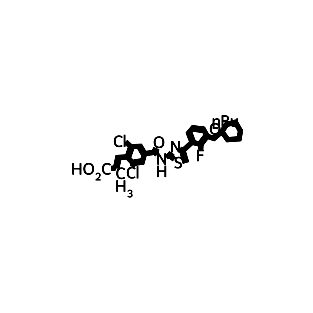 CCCCOC1(Cc2cccc(-c3csc(NC(=O)c4cc(Cl)c(C=C(C)C(=O)O)c(Cl)c4)n3)c2F)CCCCC1